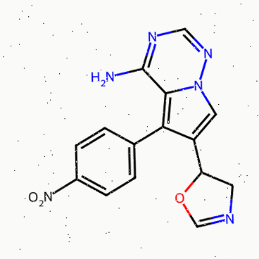 Nc1ncnn2cc(C3CN=CO3)c(-c3ccc([N+](=O)[O-])cc3)c12